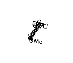 CCC(C(=O)c1ccc(Cl)cc1)n1ncn(-c2ccc(N3CCN(c4nccc(OC)n4)CC3)cc2)c1=O